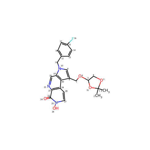 CC1(C)OCC(OCc2cn(Cc3ccc(F)cc3)c3cnc4c(=O)n(O)ccc4c23)O1